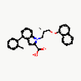 Cc1ccccc1-c1cccc2c1cc(C(=O)O)n2C[C@H](C)COc1cccc2ccccc12